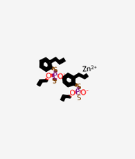 C=CCOP([O-])(=S)Sc1ccccc1CC=C.C=CCOP([O-])(=S)Sc1ccccc1CC=C.[Zn+2]